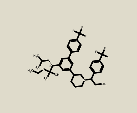 CCOC(C)(O)[C@H](CC(C)C)c1cc(-c2ccc(C(F)(F)F)cc2)cc(C2CCCN(C(CC)c3ccc(C(F)(F)F)cc3)C2)c1